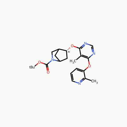 Cc1ncccc1Oc1ncnc(O[C@@H]2CC3CC2CN3C(=O)OC(C)(C)C)c1C